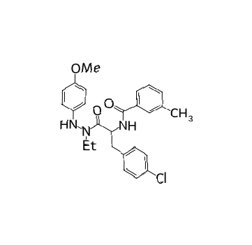 CCN(Nc1ccc(OC)cc1)C(=O)C(Cc1ccc(Cl)cc1)NC(=O)c1cccc(C)c1